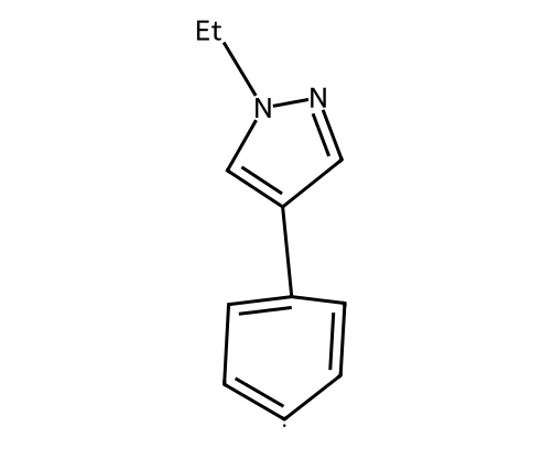 CCn1cc(-c2cc[c]cc2)cn1